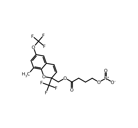 Cc1cc(OC(F)(F)F)cc2c1OC(COC(=O)CCCO[N+](=O)[O-])(C(F)(F)F)C=C2